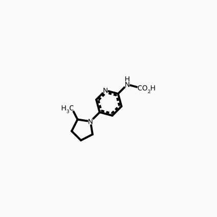 CC1CCCN1c1ccc(NC(=O)O)nc1